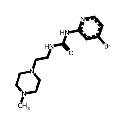 CN1CCN(CCNC(=O)Nc2cc(Br)ccn2)CC1